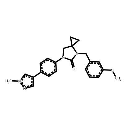 COc1cccc(CN2C(=O)N(c3ccc(-c4cnn(C)c4)cc3)CC23CC3)c1